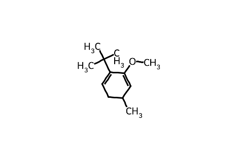 COC1=CC(C)CC=C1C(C)(C)C